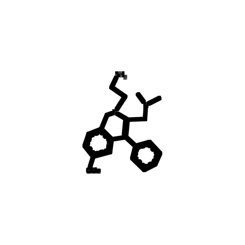 COc1ccc2c(c1)C(c1ccccc1)=C(CN(C)C)N(CCN)C2